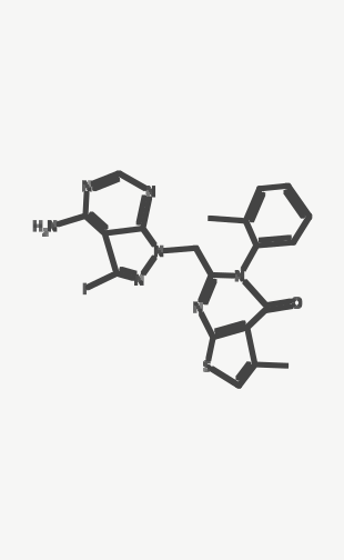 Cc1ccccc1-n1c(Cn2nc(I)c3c(N)ncnc32)nc2scc(C)c2c1=O